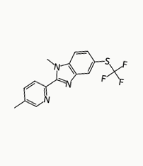 Cc1ccc(-c2nc3cc(SC(F)(F)F)ccc3n2C)nc1